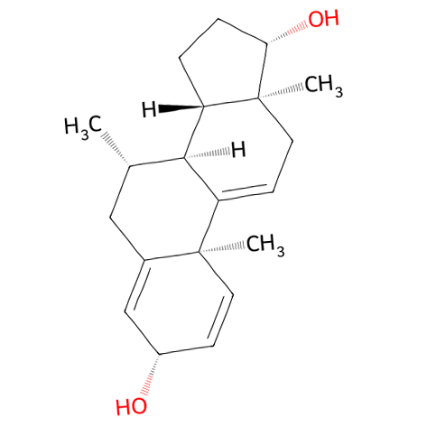 C[C@H]1CC2=C[C@@H](O)C=C[C@]2(C)C2=CC[C@]3(C)[C@@H](O)CC[C@H]3[C@@H]21